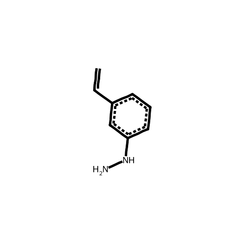 C=Cc1cccc(NN)c1